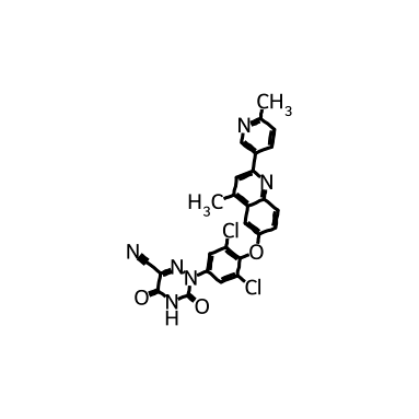 Cc1ccc(-c2cc(C)c3cc(Oc4c(Cl)cc(-n5nc(C#N)c(=O)[nH]c5=O)cc4Cl)ccc3n2)cn1